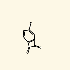 O=c1c(=O)c2cc(F)ccc12